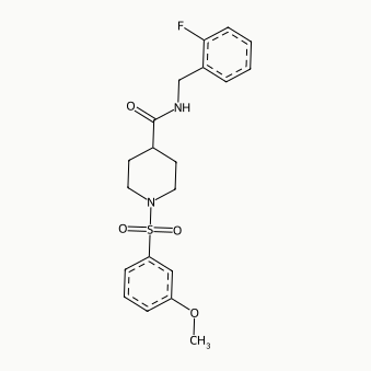 COc1cccc(S(=O)(=O)N2CCC(C(=O)NCc3ccccc3F)CC2)c1